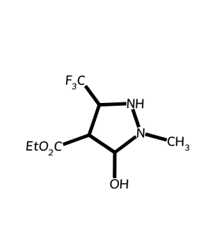 CCOC(=O)C1C(O)N(C)NC1C(F)(F)F